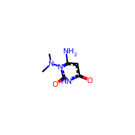 CN(C)n1c(N)cc(=O)[nH]c1=O